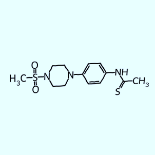 CC(=S)Nc1ccc(N2CCN(S(C)(=O)=O)CC2)cc1